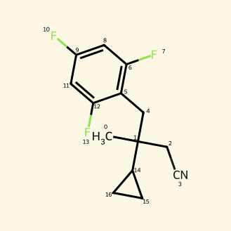 CC(CC#N)(Cc1c(F)cc(F)cc1F)C1CC1